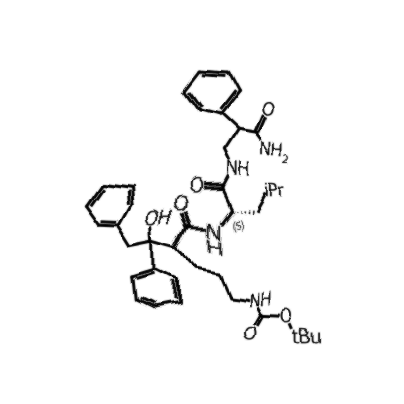 CC(C)C[C@H](NC(=O)C(CCCNC(=O)OC(C)(C)C)C(O)(Cc1ccccc1)c1ccccc1)C(=O)NCC(C(N)=O)c1ccccc1